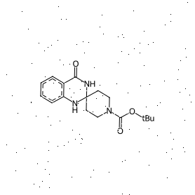 CC(C)(C)OC(=O)N1CCC2(CC1)NC(=O)c1ccccc1N2